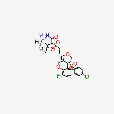 CC(C)C(C(N)=O)S(=O)(=O)CC[C@@H]1OCC[C@@]2(S(=O)(=O)c3ccc(Cl)cc3)c3c(F)ccc(F)c3OC[C@@H]12